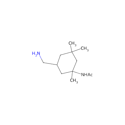 CC(=O)NC1(C)CC(CN)CC(C)(C)C1